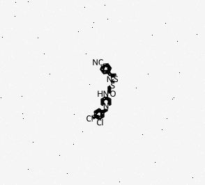 N#Cc1ccc(-c2csc(SCC(=O)NC3CCN(Cc4ccc(Cl)c(Cl)c4)CC3)n2)cc1